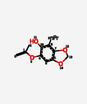 C=C(C)Oc1cc2c(c(CCC)c1O)OCO2